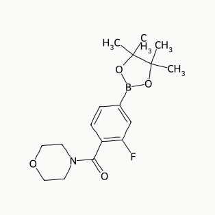 CC1(C)OB(c2ccc(C(=O)N3CCOCC3)c(F)c2)OC1(C)C